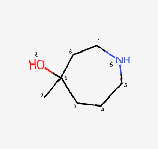 CC1(O)CCCNCC1